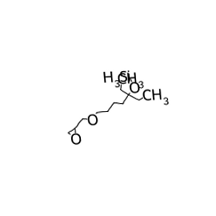 CCC(CC)(CCCCOCC1CO1)O[SiH3]